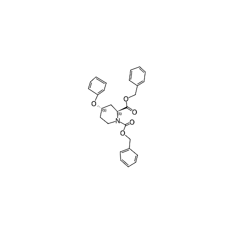 O=C(OCc1ccccc1)[C@@H]1C[C@@H](Oc2ccccc2)CCN1C(=O)OCc1ccccc1